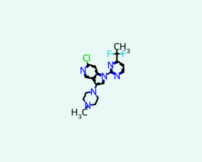 CN1CCN(c2cn(-c3nccc(C(C)(F)F)n3)c3cc(Cl)ncc23)CC1